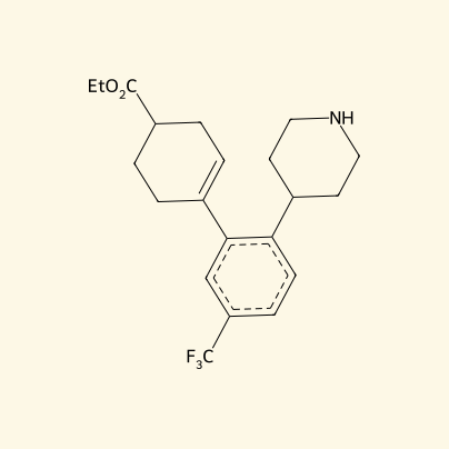 CCOC(=O)C1CC=C(c2cc(C(F)(F)F)ccc2C2CCNCC2)CC1